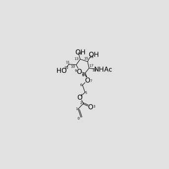 C=CC(=O)OCCO[C@H]1OC(CO)C(O)C(O)C1NC(C)=O